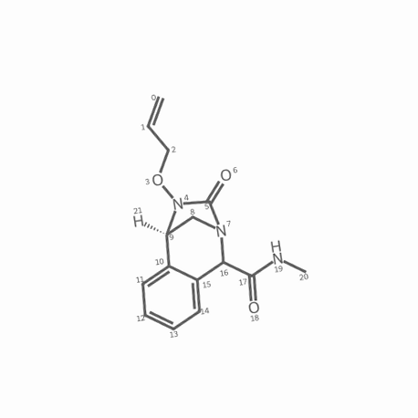 C=CCON1C(=O)N2C[C@H]1c1ccccc1C2C(=O)NC